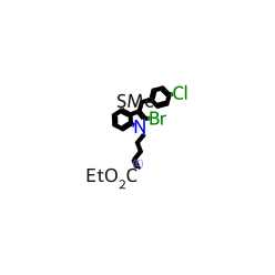 CCOC(=O)/C=C/CCCn1c(Br)c(Cc2ccc(Cl)cc2)c2c(SC)cccc21